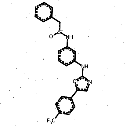 [O-][S+](Cc1ccccc1)Nc1cccc(Nc2ncc(-c3ccc(C(F)(F)F)cc3)o2)c1